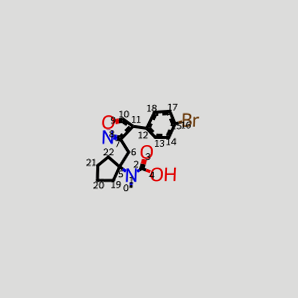 CN(C(=O)O)C1(Cc2nocc2-c2ccc(Br)cc2)CCCC1